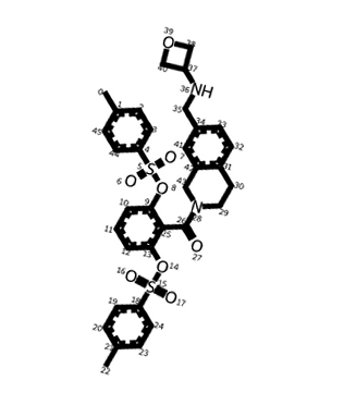 Cc1ccc(S(=O)(=O)Oc2cccc(OS(=O)(=O)c3ccc(C)cc3)c2C(=O)N2CCc3ccc(CNC4COC4)cc3C2)cc1